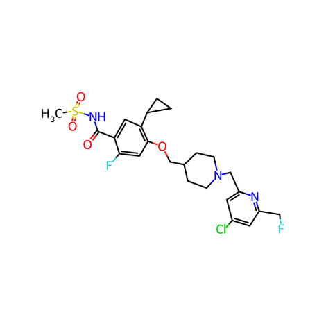 CS(=O)(=O)NC(=O)c1cc(C2CC2)c(OCC2CCN(Cc3cc(Cl)cc(CF)n3)CC2)cc1F